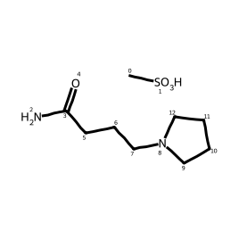 CS(=O)(=O)O.NC(=O)CCCN1CCCC1